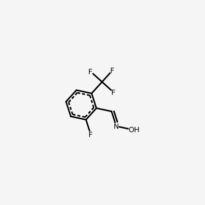 ON=Cc1c(F)cccc1C(F)(F)F